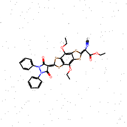 [C-]#[N+]C(C(=O)OCC)=C1Sc2c(OCC)c3c(c(OCC)c2S1)SC(=C1C(=O)N(c2ccccc2)N(c2ccccc2)C1=O)S3